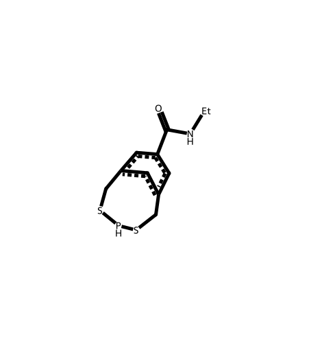 CCNC(=O)c1cc2cc(c1)CSPSC2